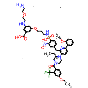 CCOc1ccc(C(=O)N2CCN(c3ccc(-c4ccccc4OCC)nc3Cc3ccc(S(=O)(=O)NCCCOc4cc(NCCOCCN)cc(C(=O)O)c4)c([N+](=O)[O-])c3)[C@H](CC)C2)c(C(F)(F)F)c1